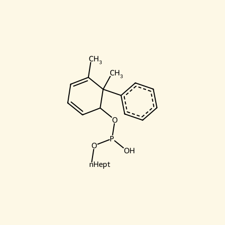 CCCCCCCOP(O)OC1C=CC=C(C)C1(C)c1ccccc1